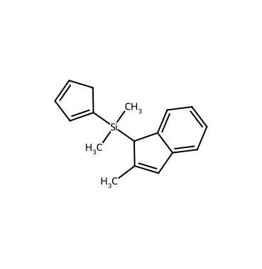 CC1=Cc2ccccc2C1[Si](C)(C)C1=CC=CC1